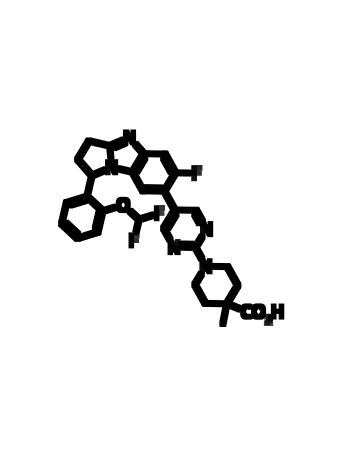 CC1(C(=O)O)CCN(c2ncc(-c3cc4c(cc3F)nc3n4C(c4ccccc4OC(F)F)CC3)cn2)CC1